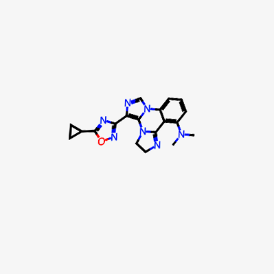 CN(C)c1cccc2c1C1=NCCN1c1c(-c3noc(C4CC4)n3)ncn1-2